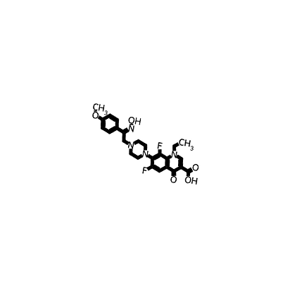 CCn1cc(C(=O)O)c(=O)c2cc(F)c(N3CCN(CC(=NO)c4ccc(OC)cc4)CC3)c(F)c21